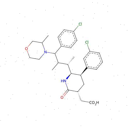 CC(C(c1ccc(Cl)cc1)N1CCOCC1C)[C@H](C)[C@@H]1NC(=O)[C@@H](CC(=O)O)C[C@@H]1c1cccc(Cl)c1